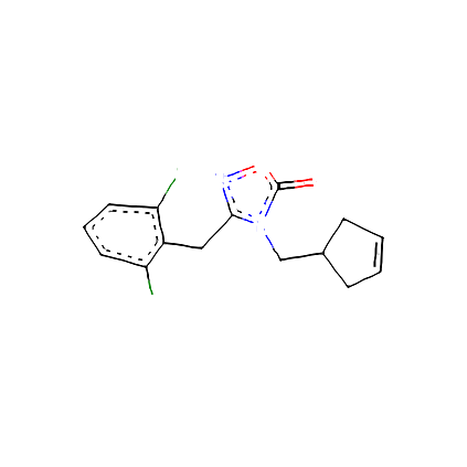 O=c1onc(Cc2c(F)cccc2Cl)n1CC1CC=CC1